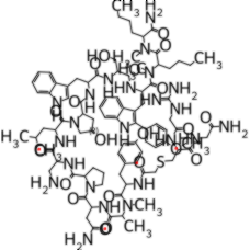 CCCCC(C(=O)N(C)C(CCCC)C(N)=O)N(C)C(=O)C(Cc1c(-c2ccc(OC)cc2)[nH]c2ccccc12)NC(=O)C(CO)NC(=O)C(Cc1c[nH]c2ccccc12)NC(=O)C1C[C@@H](O)CN1C(=O)C(CC(C)C)NC(=O)C(CN)NC(=O)C1CCCN1C(=O)C(CC(N)=O)NC(=O)C(C)N(C)C(=O)C(Cc1ccc(O)cc1)NC(=O)CSCC(NC(=O)CNC(=N)N)C(=O)NCC(N)=O